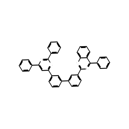 c1ccc(-c2cc(-c3cccc(-c4cccc(-c5nc(-c6ccccc6)c6ccccc6n5)c4)c3)nc(-c3ccccc3)n2)cc1